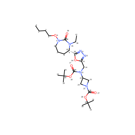 CCCCON1CCC[C@@H](c2nnc(CN(C(=O)OC(C)(C)C)C3CN(C(=O)OC(C)(C)C)C3)o2)N(CC)C1=O